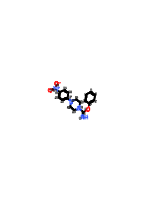 N=C(Oc1ccccc1)N1CCN(c2ccc([N+](=O)[O-])cc2)CC1